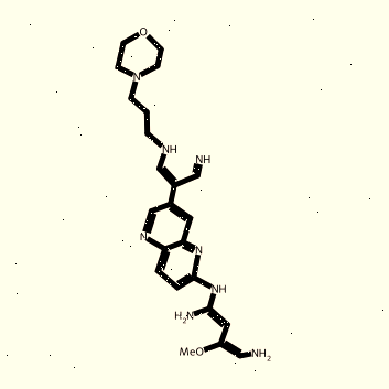 COC(/C=C(\N)Nc1ccc2ncc(/C(C=N)=C/NCCCN3CCOCC3)cc2n1)=C/N